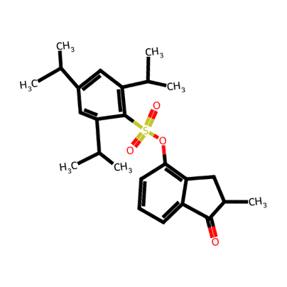 CC1Cc2c(OS(=O)(=O)c3c(C(C)C)cc(C(C)C)cc3C(C)C)cccc2C1=O